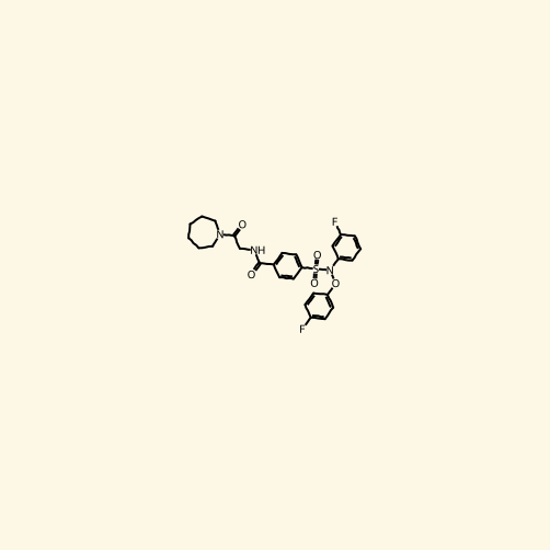 O=C(NCC(=O)N1CCCCCC1)c1ccc(S(=O)(=O)N(Oc2ccc(F)cc2)c2cccc(F)c2)cc1